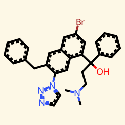 CN(C)CCC(O)(c1ccccc1)c1cc(Br)cc2cc(Cc3ccccc3)c(-n3ccnn3)cc12